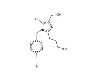 CCCCc1nc(CO)c(Cl)n1Cc1ccc(C#N)cc1